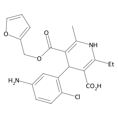 CCC1=C(C(=O)O)C(c2cc(N)ccc2Cl)C(C(=O)OCc2ccco2)=C(C)N1